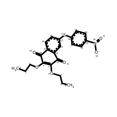 CCCOC1=C(OCCC)C(=O)c2cc(Sc3ccc([N+](=O)[O-])cc3)ccc2C1=O